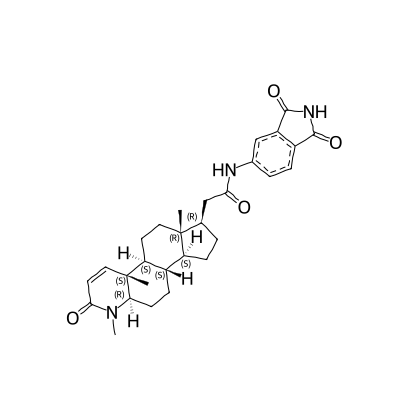 CN1C(=O)C=C[C@]2(C)[C@H]3CC[C@]4(C)[C@@H](CC(=O)Nc5ccc6c(c5)C(=O)NC6=O)CC[C@H]4[C@@H]3CC[C@@H]12